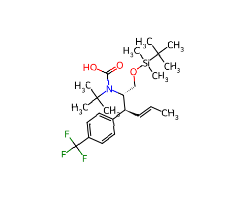 CC=C[C@@H](c1ccc(C(F)(F)F)cc1)[C@@H](CO[Si](C)(C)C(C)(C)C)N(C(=O)O)C(C)(C)C